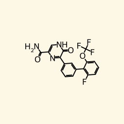 NC(=O)c1c[nH]c(=O)c(-c2cccc(-c3c(F)cccc3OC(F)(F)F)c2)n1